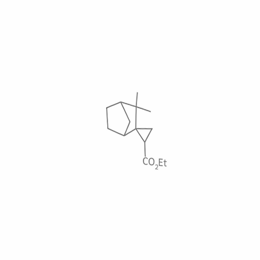 CCOC(=O)C1CC12C1CCC(C1)C2(C)C